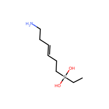 CC[Si](O)(O)CCC=CCCN